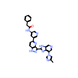 Cc1cn(-c2cncc3[nH]c(-c4n[nH]c5ccc(-c6cncc(NC(=O)Cc7ccccc7)c6)nc45)nc23)cn1